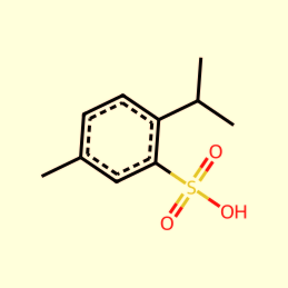 Cc1ccc(C(C)C)c(S(=O)(=O)O)c1